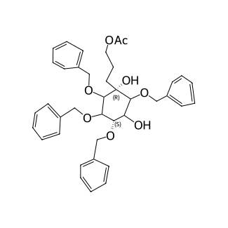 CC(=O)OCCC[C@@]1(O)C(OCc2ccccc2)C(O)[C@H](OCc2ccccc2)C(OCc2ccccc2)C1OCc1ccccc1